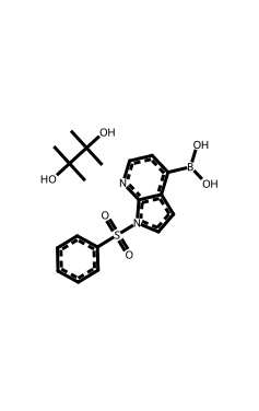 CC(C)(O)C(C)(C)O.O=S(=O)(c1ccccc1)n1ccc2c(B(O)O)ccnc21